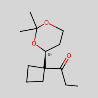 CCC(=O)C1([C@@H]2CCOC(C)(C)O2)CCC1